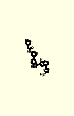 Cc1ccc(-c2ccnc3[nH]c(-c4n[nH]c5cnc(-c6cncc(NC(=O)CC7CCNCC7)c6)cc45)cc23)s1